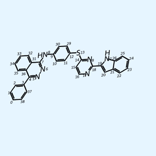 c1ccc(-c2nnc(Nc3ccc(Sc4ccnc(-c5cc6ccccc6[nH]5)n4)cc3)c3ccccc23)cc1